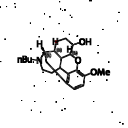 CCCCN1CCC2c3c4ccc(OC)c3O[C@@H]3C(O)CC[C@@H](C23)[C@@H]1C4